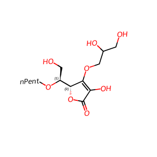 CCCCCO[C@@H](CO)[C@H]1OC(=O)C(O)=C1OCC(O)CO